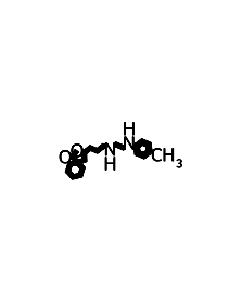 Cc1ccc(NCCNCCCC2CC3(CCCCC3)C(=O)O2)cc1